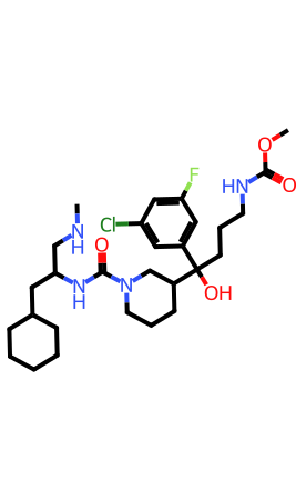 CNCC(CC1CCCCC1)NC(=O)N1CCCC(C(O)(CCCNC(=O)OC)c2cc(F)cc(Cl)c2)C1